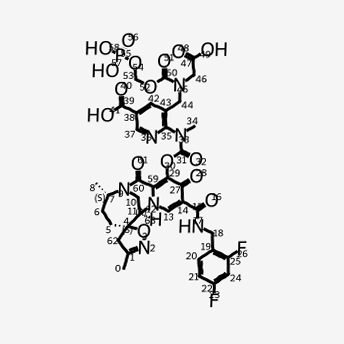 CC1=NO[C@@]2(CC[C@H](C)N3C[C@H]2n2cc(C(=O)NCc4ccc(F)cc4F)c(=O)c(OC(=O)N(C)c4ncc(C(=O)O)cc4CN(CC(=O)O)C(=O)OCOP(=O)(O)O)c2C3=O)C1